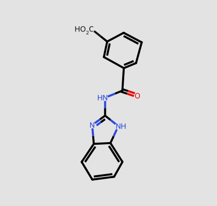 O=C(O)c1cccc(C(=O)Nc2nc3ccccc3[nH]2)c1